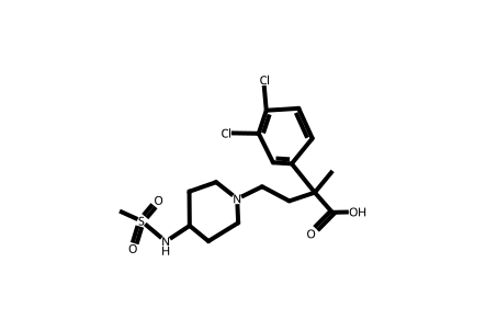 CC(CCN1CCC(NS(C)(=O)=O)CC1)(C(=O)O)c1ccc(Cl)c(Cl)c1